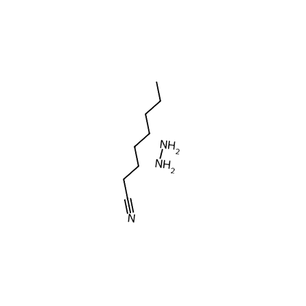 CCCCCCCC#N.NN